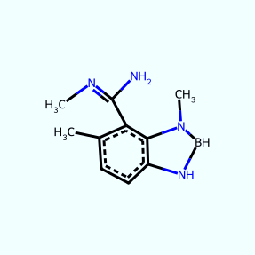 C/N=C(/N)c1c(C)ccc2c1N(C)BN2